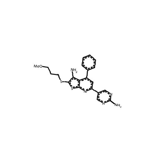 COCCCSc1sc2nc(-c3cnc(N)nc3)cc(-c3ccccc3)c2c1N